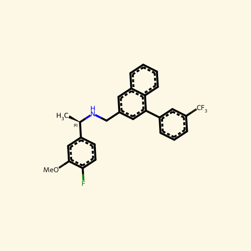 COc1cc([C@@H](C)NCc2cc(-c3cccc(C(F)(F)F)c3)c3ccccc3c2)ccc1F